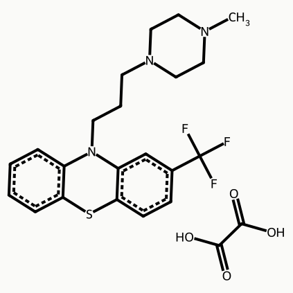 CN1CCN(CCCN2c3ccccc3Sc3ccc(C(F)(F)F)cc32)CC1.O=C(O)C(=O)O